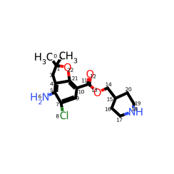 CC1(C)Cc2c(N)c(Cl)cc(C(=O)OCC3CCNCC3)c2O1